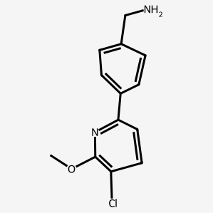 COc1nc(-c2ccc(CN)cc2)ccc1Cl